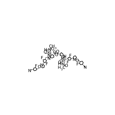 CC(=O)N1C[C@@H]2[C@H](n3c(Cc4cc(F)c(-c5cccc(OCc6ccc(C#N)cc6F)n5)cc4F)nc4ccc(C(=O)OC(=O)c5ccc6nc(Cc7cc(F)c(-c8cccc(OCc9ccc(C#N)cc9F)n8)cc7F)n([C@@H]7CO[C@@H]8CN(C(C)=O)C[C@H]78)c6c5)cc43)CO[C@@H]2C1